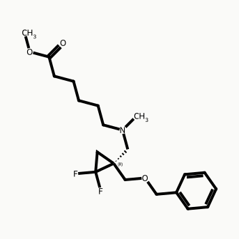 COC(=O)CCCCCN(C)C[C@@]1(COCc2ccccc2)CC1(F)F